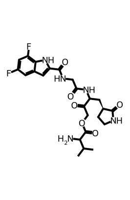 CC(C)C(N)C(=O)OCC(=O)C(C[C@@H]1CCNC1=O)NC(=O)CNC(=O)c1cc2cc(F)cc(F)c2[nH]1